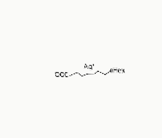 CCCCCCCCCCCCCC(=O)[O-].[Ag+]